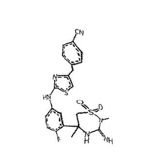 CN1C(=N)NC(C)(c2cc(Nc3nc(-c4ccc(C#N)cc4)cs3)ccc2F)CS1(=O)=O